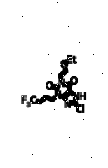 CCOCCn1c(=O)c2[nH]c(Cl)nc2n(CCCC(F)(F)F)c1=O